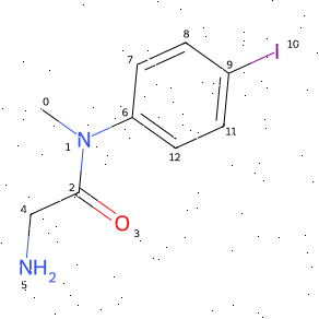 CN(C(=O)CN)c1ccc(I)cc1